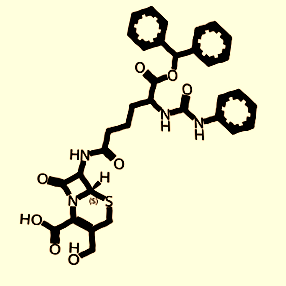 O=C(CCCC(NC(=O)Nc1ccccc1)C(=O)OC(c1ccccc1)c1ccccc1)NC1C(=O)N2C(C(=O)O)=C(CO)CS[C@@H]12